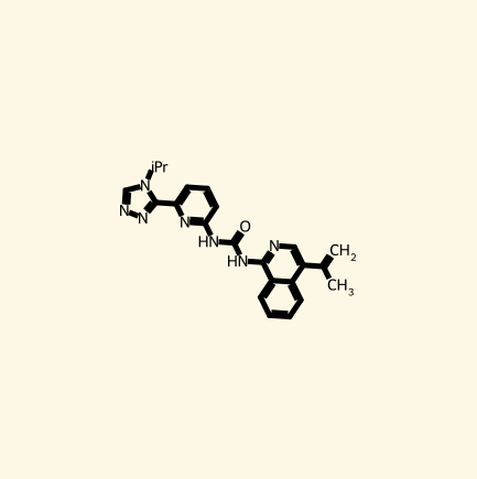 C=C(C)c1cnc(NC(=O)Nc2cccc(-c3nncn3C(C)C)n2)c2ccccc12